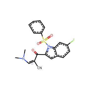 CN(C)/C=C(/C#N)C(=O)c1cc2ccc(F)cc2n1S(=O)(=O)c1ccccc1